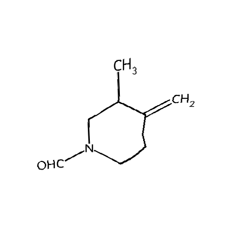 C=C1CCN(C=O)CC1C